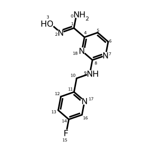 NC(=NO)c1ccnc(NCc2ccc(F)cn2)n1